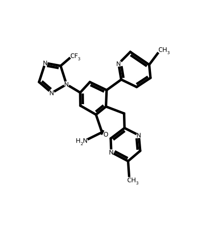 Cc1ccc(-c2cc(-n3ncnc3C(F)(F)F)cc(C(N)=O)c2Cc2cnc(C)cn2)nc1